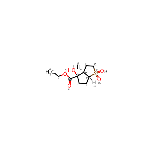 CCOC(=O)[C@@]1(O)CC[C@H]2[C@@H]1CCS2(=O)=O